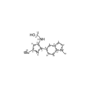 Cn1ccc2cc(-n3nc(C(C)(C)C)cc3NC(=O)O)ccc21